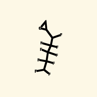 FC(F)C(F)(F)C(F)(F)C(F)(F)C(F)C1CO1